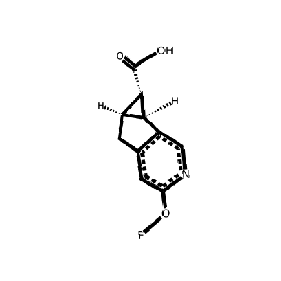 O=C(O)[C@H]1[C@@H]2Cc3cc(OF)ncc3[C@@H]21